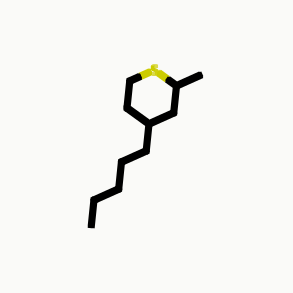 CCCCCC1CCSC(C)C1